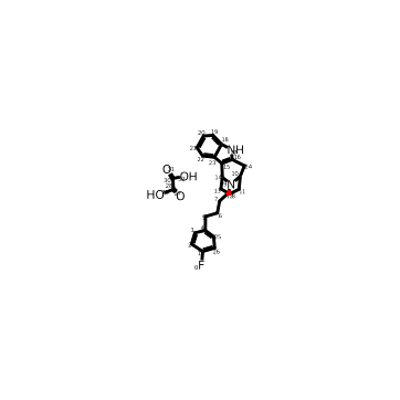 Fc1ccc(CCCCN2C3CCCC2c2c([nH]c4ccccc24)C3)cc1.O=C(O)C(=O)O